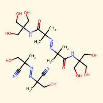 CC(C#N)(CO)/N=N/C(C)(C#N)CO.CC(C)(/N=N/C(C)(C)C(=O)NC(CO)(CO)CO)C(=O)NC(CO)(CO)CO